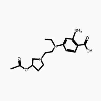 CCN(CCN1CCC(OC(C)=O)C1)c1ccc(C(=O)O)c(N)c1